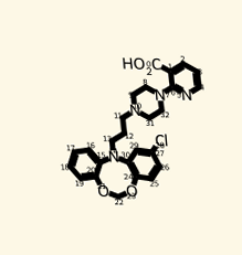 O=C(O)c1cccnc1N1CCN(CCCN2c3ccccc3OCOc3ccc(Cl)cc32)CC1